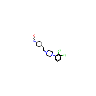 O=C=N[C@H]1CC[C@H](CCN2CCN(c3cccc(Cl)c3Cl)CC2)CC1